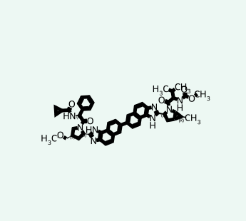 COC[C@H]1C[C@@H](c2nc3ccc4cc(-c5ccc6c(ccc7nc([C@@H]8CC9C([C@@H]9C)N8C(=O)C(NC(=O)OC)C(C)C)[nH]c76)c5)ccc4c3[nH]2)N(C(=O)[C@H](NC(=O)C2CC2)c2ccccc2)C1